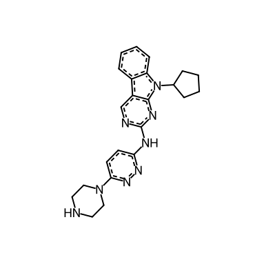 c1ccc2c(c1)c1cnc(Nc3ccc(N4CCNCC4)nn3)nc1n2C1CCCC1